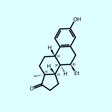 CC[C@@H]1Cc2cc(O)ccc2[C@H]2CC[C@]3(C)C(=O)CC[C@H]3[C@H]12